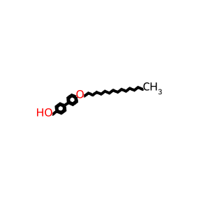 CCCCCCCCCCCCCCCCOc1ccc(-c2ccc(CO)cc2)cc1